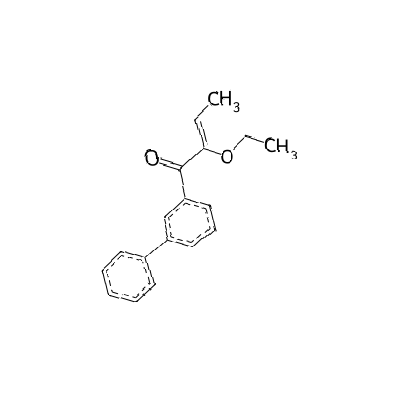 CC=C(OCC)C(=O)c1cccc(-c2ccccc2)c1